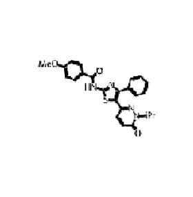 COc1ccc(C(=O)Nc2nc(-c3ccccc3)c(-c3ccc(=O)n(C(C)C)n3)s2)cc1